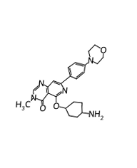 Cn1cnc2cc(-c3ccc(N4CCOCC4)cc3)nc(OC3CCC(N)CC3)c2c1=O